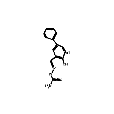 Cl.NC(=O)N/N=C/c1cc(-c2ccccc2)ccc1O